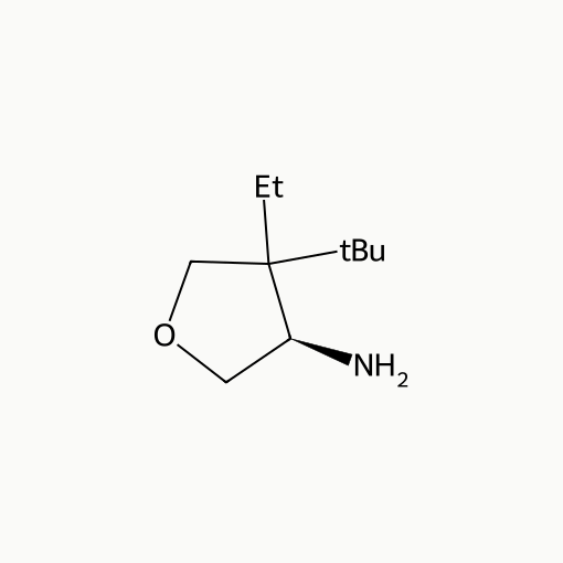 CCC1(C(C)(C)C)COC[C@@H]1N